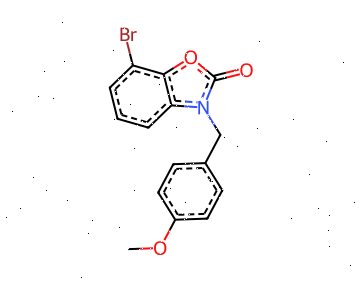 COc1ccc(Cn2c(=O)oc3c(Br)cccc32)cc1